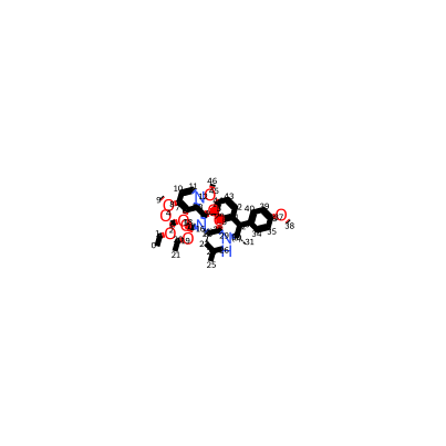 CCOC(=O)Oc1c(OC)ccnc1C(=O)N(C(=O)OCC)[C@@H](CC(C)C)C(=O)N[C@@H](C)C(c1ccc(OC)cc1)c1ccc(OC)cc1